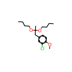 CCCCOC(C)(Cc1ccc(OC)c(Cl)c1)OCCCC